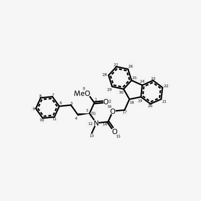 COC(=O)[C@H](CCc1ccccc1)N(C)C(=O)OCC1c2ccccc2-c2ccccc21